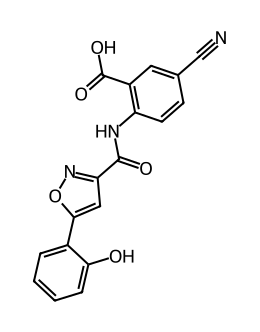 N#Cc1ccc(NC(=O)c2cc(-c3ccccc3O)on2)c(C(=O)O)c1